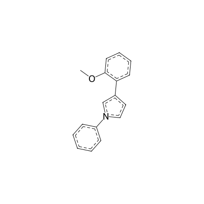 COc1ccccc1-c1ccn(-c2ccccc2)c1